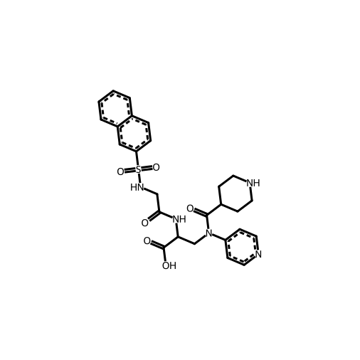 O=C(CNS(=O)(=O)c1ccc2ccccc2c1)NC(CN(C(=O)C1CCNCC1)c1ccncc1)C(=O)O